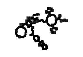 CC(C)C[C@@H](Nc1nc(NC2CCCCCCCCCCC2)nc(OCCN(C)c2ccc(-c3nc4ccccc4s3)cc2)n1)C(=O)NCCCN1CCN(C(=O)OC(C)(C)C)CCN(C(=O)OC(C)(C)C)CCN(C(=O)OC(C)(C)C)CC1